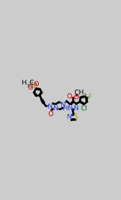 COC(=O)C1=C(CN2CCN3C(=O)N(CC#Cc4ccc(S(C)(=O)=O)cc4)CC3C2)NC(c2nccs2)=NC1c1ccc(F)cc1Cl